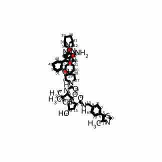 Cc1ncsc1-c1ccc(CNC(=O)[C@@H]2C[C@@H](O)CN2C(=O)[C@@H](NC(=O)N2CCC3(CCC(c4cnc(N5C6CCC5CN(c5cc(-c7ccccc7O)nnc5N)C6)nc4)CC3)CC2)C(C)(C)C)cc1